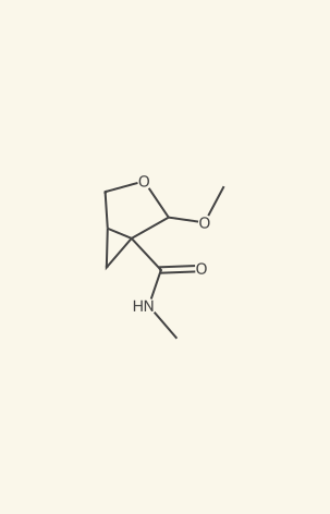 CNC(=O)C12CC1COC2OC